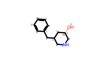 O[C@@H]1CNCC(Cc2ccccc2)C1